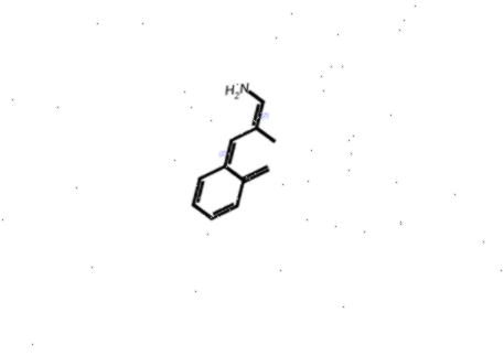 C=c1cccc/c1=C/C(C)=C\N